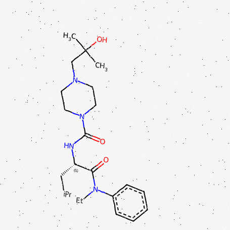 CCN(C(=O)[C@H](CC(C)C)NC(=O)N1CCN(CC(C)(C)O)CC1)c1ccccc1